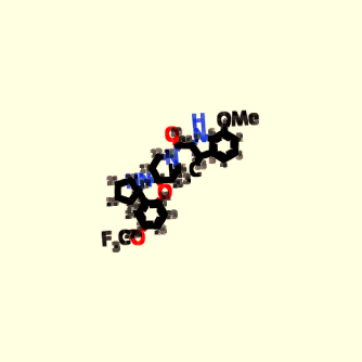 COc1cccc2c1NC(C(=O)N1CCC3(CC1)NC1(CCCC1)c1cc(OC(F)(F)F)ccc1O3)C2C